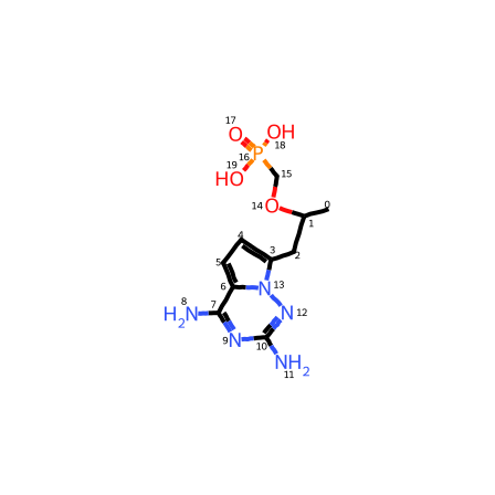 CC(Cc1ccc2c(N)nc(N)nn12)OCP(=O)(O)O